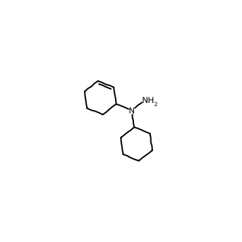 NN(C1C=CCCC1)C1CCCCC1